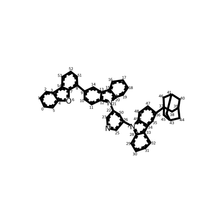 c1ccc2c(c1)oc1c(-c3ccc4c(c3)c3ccccc3n4-c3cncc(-n4c5ccccc5c5cc(C67CC8CC(CC(C8)C6)C7)ccc54)c3)cccc12